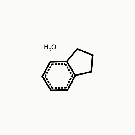 O.c1ccc2c(c1)CCC2